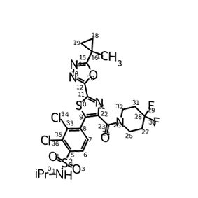 CC(C)NS(=O)(=O)c1ccc(-c2sc(-c3nnc(C4(C)CC4)o3)nc2C(=O)N2CCC(F)(F)CC2)c(Cl)c1Cl